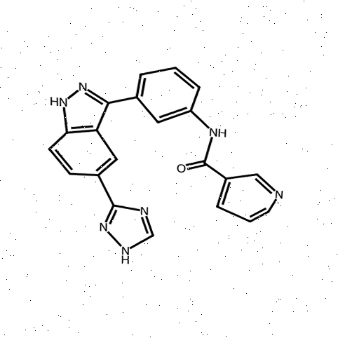 O=C(Nc1cccc(-c2n[nH]c3ccc(-c4nc[nH]n4)cc23)c1)c1cccnc1